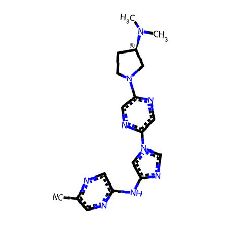 CN(C)[C@@H]1CCN(c2cnc(-n3cnc(Nc4cnc(C#N)cn4)c3)cn2)C1